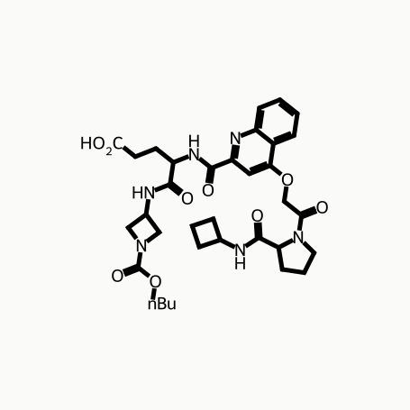 CCCCOC(=O)N1CC(NC(=O)C(CCC(=O)O)NC(=O)c2cc(OCC(=O)N3CCCC3C(=O)NC3CCC3)c3ccccc3n2)C1